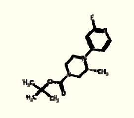 C[C@@H]1CN(C(=O)OC(C)(C)C)CCN1c1ccnc(F)c1